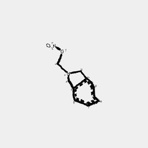 O=[N+]([O-])OCN1Cc2ccccc2C1